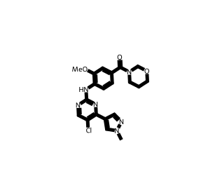 COc1cc(C(=O)N2CCCOC2)ccc1Nc1ncc(Cl)c(-c2cnn(C)c2)n1